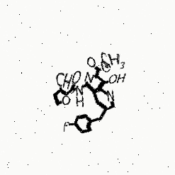 COC(=O)c1nc(NC(=O)c2occc2C)c2cc(Cc3ccc(F)cc3)cnc2c1O